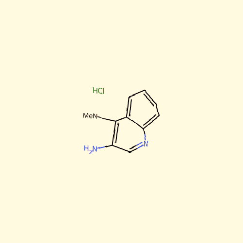 CNc1c(N)cnc2ccccc12.Cl